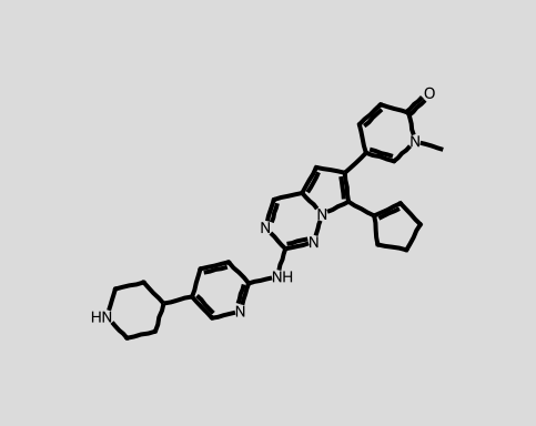 Cn1cc(-c2cc3cnc(Nc4ccc(C5CCNCC5)cn4)nn3c2C2=CCCC2)ccc1=O